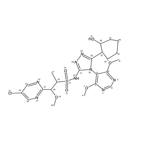 COc1ncnc(OC)c1-n1c(NS(=O)(=O)C(C)C(OC)c2ncc(Cl)cn2)nnc1C1CCCCC1O